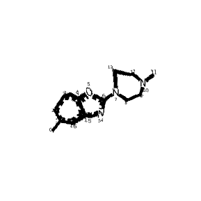 Cc1ccc2oc(N3CCN(C)CC3)nc2c1